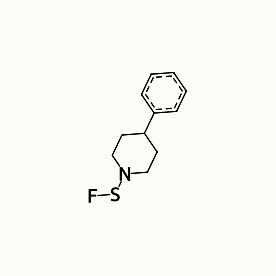 FSN1CCC(c2ccccc2)CC1